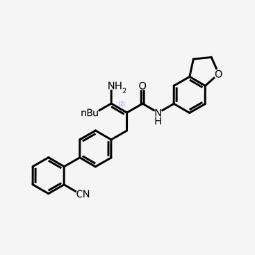 CCCC/C(N)=C(\Cc1ccc(-c2ccccc2C#N)cc1)C(=O)Nc1ccc2c(c1)CCO2